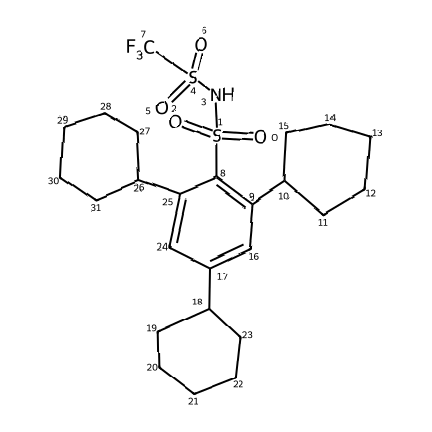 O=S(=O)(NS(=O)(=O)C(F)(F)F)c1c(C2CCCCC2)cc(C2CCCCC2)cc1C1CCCCC1